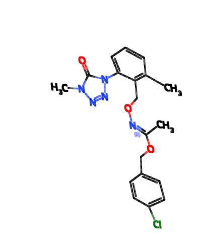 C/C(=N\OCc1c(C)cccc1-n1nnn(C)c1=O)OCc1ccc(Cl)cc1